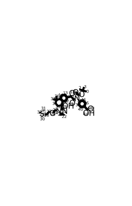 CC(C)(C)OC(=O)N(C(=O)C(=O)c1ccc2c(c1)C(O)(c1nccn1COCC[Si](C)(C)C)CCC2(C)C)c1ccc(C(=O)O)cc1